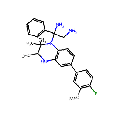 COc1cc(-c2ccc3c(c2)NC(C=O)C(C)(C)N3C(N)(CN)c2ccccc2)ccc1F